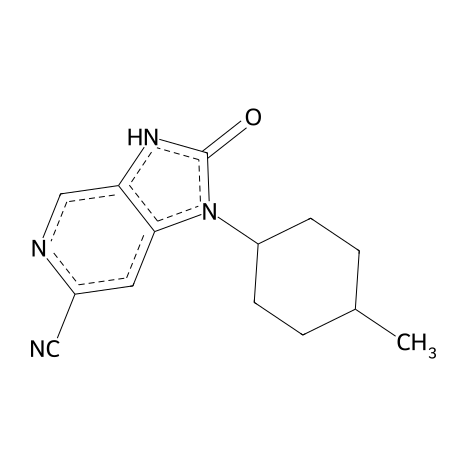 CC1CCC(n2c(=O)[nH]c3cnc(C#N)cc32)CC1